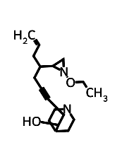 C=CCC(CC#CC1C(O)C2CCN1CC2)C1CN1OCC